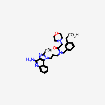 CCCCc1nc2c(N)nc3ccccc3c2n1CCCN(Cc1cccc(CC(=O)O)c1)C(=O)CN1CCOCC1